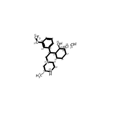 C[C@@H]1CN(CC(c2cccc(OC(F)(F)F)c2)C2CCCC[C@@H]2O)CCN1.Cl.Cl